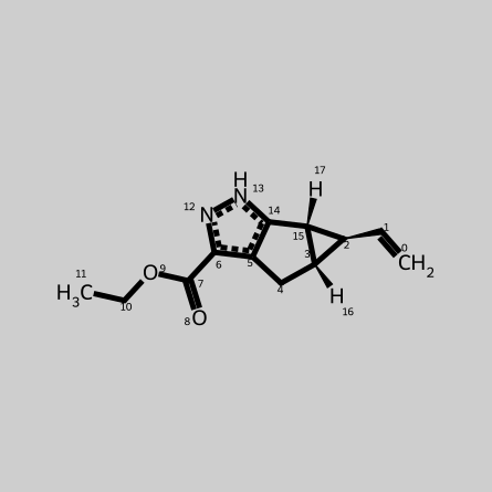 C=C[C@H]1[C@@H]2Cc3c(C(=O)OCC)n[nH]c3[C@H]12